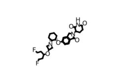 O=C1CCC(N2Cc3cc(O[C@H]4CCCC[C@H]4N4CC(OC(CCF)CCF)C4)ccc3C2=O)C(=O)N1